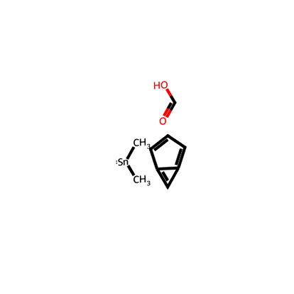 O=CO.[CH3][Sn][CH3].c1cc2cc-2c1